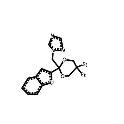 CCC1(CC)COC(Cn2cncn2)(c2cc3ccccc3o2)OC1